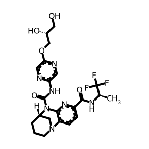 C[C@@H](NC(=O)c1ccc2c(n1)N(C(=O)Nc1cnc(OC[C@H](O)CO)cn1)[C@H]1CCCN2C1)C(F)(F)F